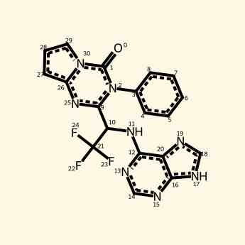 O=c1n(-c2ccccc2)c(C(Nc2ncnc3[nH]cnc23)C(F)(F)F)nc2cccn12